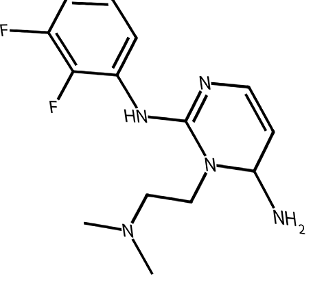 CN(C)CCN1C(Nc2cccc(F)c2F)=NC=CC1N